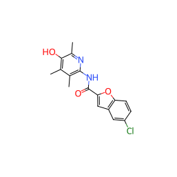 Cc1nc(NC(=O)c2cc3cc(Cl)ccc3o2)c(C)c(C)c1O